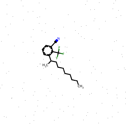 CCCCCCCCC(C)c1cccc(C#N)c1C(F)(F)F